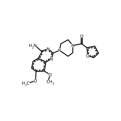 COc1ccc2c(N)nc(N3CCN(C(=O)c4ccco4)CC3)nc2c1OC